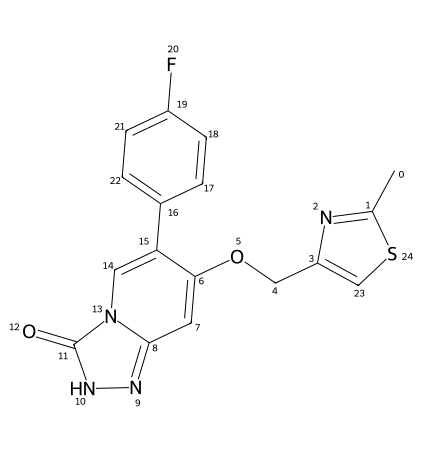 Cc1nc(COc2cc3n[nH]c(=O)n3cc2-c2ccc(F)cc2)cs1